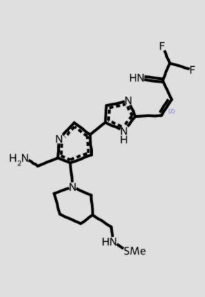 CSNCC1CCCN(c2cc(-c3cnc(/C=C\C(=N)C(F)F)[nH]3)cnc2CN)C1